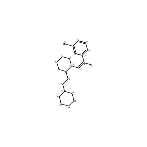 CC(=CN1CCCCC1CCC1CCCCC1)c1cccc(Br)c1